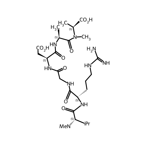 CN[C@H](C(=O)N[C@@H](CCCNC(=N)N)C(=O)NCC(=O)N[C@@H](CC(=O)O)C(=O)N[C@@H](C)C(=O)N(C)[C@@H](C)C(=O)O)C(C)C